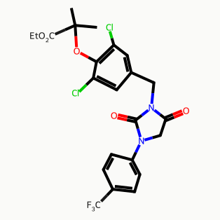 CCOC(=O)C(C)(C)Oc1c(Cl)cc(CN2C(=O)CN(c3ccc(C(F)(F)F)cc3)C2=O)cc1Cl